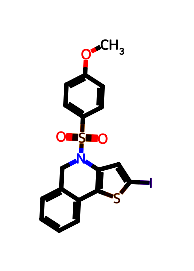 COc1ccc(S(=O)(=O)N2Cc3ccccc3-c3sc(I)cc32)cc1